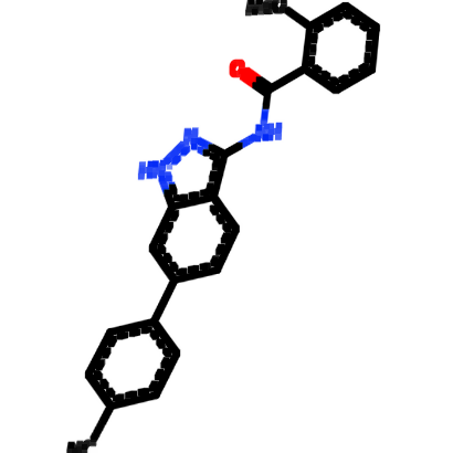 COc1ccccc1C(=O)Nc1n[nH]c2cc(-c3ccc(C#N)cc3)ccc12